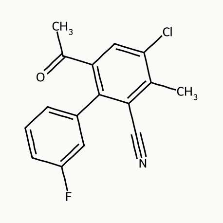 CC(=O)c1cc(Cl)c(C)c(C#N)c1-c1cccc(F)c1